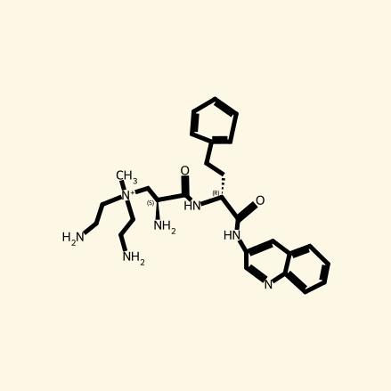 C[N+](CCN)(CCN)C[C@H](N)C(=O)N[C@H](CCc1ccccc1)C(=O)Nc1cnc2ccccc2c1